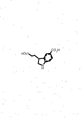 CCCCCCCCCCC1CNc2ccc(C(=O)O)cc21